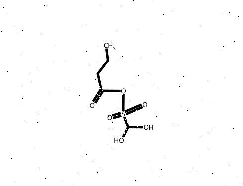 CCCC(=O)OS(=O)(=O)C(O)O